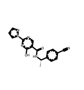 C[C@H](NC(=O)c1cnc(-n2cccn2)nc1O)c1ccc(C#N)cc1